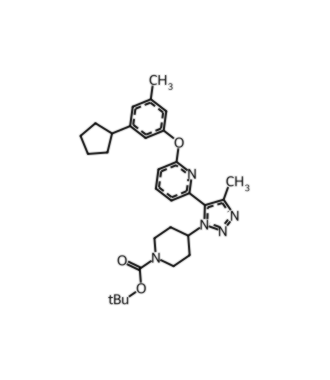 Cc1cc(Oc2cccc(-c3c(C)nnn3C3CCN(C(=O)OC(C)(C)C)CC3)n2)cc(C2CCCC2)c1